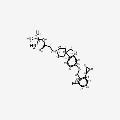 CC(C)(C)OC(=O)CCN1CCC2(CC1)COc1cc(SCc3c(F)cccc3C3CC3)ccc12